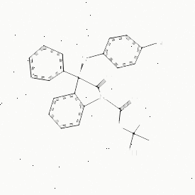 CC(C)(C)OC(=O)N1C(=O)[C@@](Nc2ccc(Br)cc2)(c2ccccc2)c2ccccc21